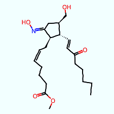 CCCCCC(=O)/C=C/[C@H]1[C@H](CO)CC(=NO)[C@@H]1C/C=C\CCCC(=O)OC